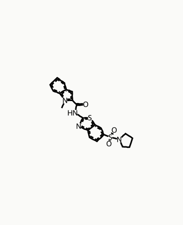 Cn1c(C(=O)Nc2nc3ccc(S(=O)(=O)N4CCCC4)cc3s2)cc2ccccc21